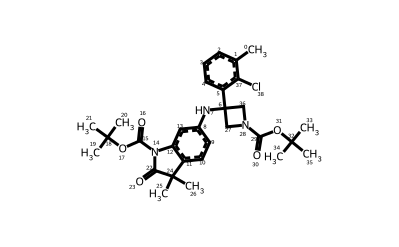 Cc1cccc(C2(Nc3ccc4c(c3)N(C(=O)OC(C)(C)C)C(=O)C4(C)C)CN(C(=O)OC(C)(C)C)C2)c1Cl